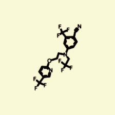 N#Cc1ccc(N(CCOc2ccc(C(F)(F)F)cn2)CC(F)(F)F)cc1C(F)(F)F